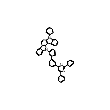 c1ccc(-c2cc(-c3cccc(-c4cccc(-n5c6ccccc6c6ccc7c(c8ccccc8n7-c7ccccc7)c65)c4)c3)nc(-c3ccccc3)n2)cc1